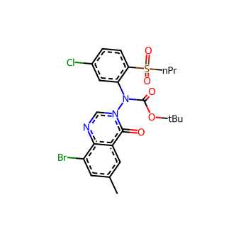 CCCS(=O)(=O)c1ccc(Cl)cc1N(C(=O)OC(C)(C)C)n1cnc2c(Br)cc(C)cc2c1=O